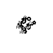 O=C(C1CCCCC1)N1CCCN(c2ncnc3[nH]ccc23)CC12CC2.O=C(CC1CCCC1)N1CCCN(c2ncnc3[nH]ccc23)CC12CC2